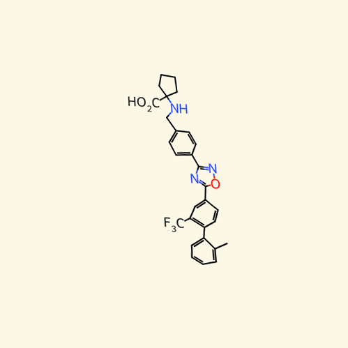 Cc1ccccc1-c1ccc(-c2nc(-c3ccc(CNC4(C(=O)O)CCCC4)cc3)no2)cc1C(F)(F)F